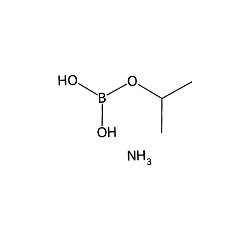 CC(C)OB(O)O.N